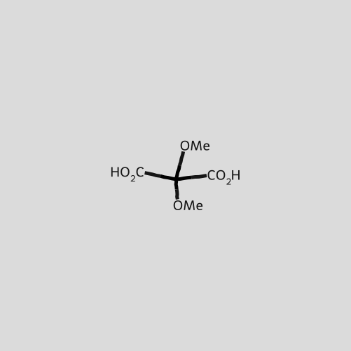 COC(OC)(C(=O)O)C(=O)O